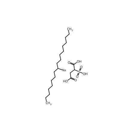 CCCCCCCCC[CH]([Na])CCCCCCCC.O=C(O)CC(C(=O)O)S(=O)(=O)O